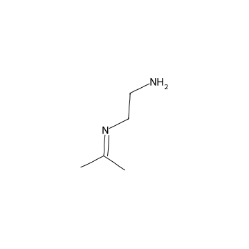 CC(C)=NCCN